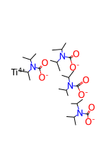 CC(C)N(C(=O)[O-])C(C)C.CC(C)N(C(=O)[O-])C(C)C.CC(C)N(C(=O)[O-])C(C)C.CC(C)N(C(=O)[O-])C(C)C.[Ti+4]